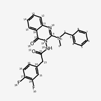 CN(Cc1ccccc1)c1nc2ccccc2c(=O)n1NC(=O)Cc1ccc(F)c(F)c1